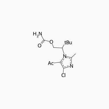 CC(=O)c1c(Cl)nc(C)n1C(COC(N)=O)C(C)(C)C